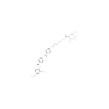 Cc1cc(N)ccc1OC(=O)c1ccc(OC(=O)c2ccc(OCCCCCCOC(=O)C(CC(C)C)C(C)C)cc2)cc1